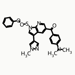 CN(C)c1ccc(C(=O)c2cnc3c(c2)c(-c2cnn(C)c2)cn3SOOc2ccccc2)cc1